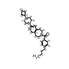 CCCCc1ccc(C(=O)N2CCc3cnc(N4CCN(C5CCC5)CC4)nc3CC2)cc1